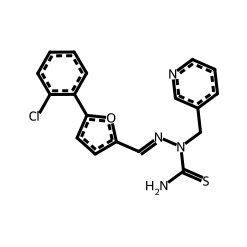 NC(=S)N(Cc1cccnc1)N=Cc1ccc(-c2ccccc2Cl)o1